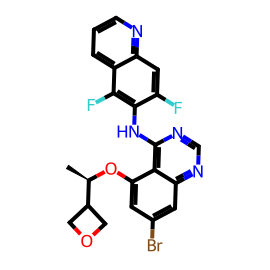 C[C@@H](Oc1cc(Br)cc2ncnc(Nc3c(F)cc4ncccc4c3F)c12)C1COC1